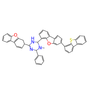 CN1C(c2ccccc2)N=C(C2C=Cc3c(oc4ccccc34)C2)NC1c1cccc2c1oc1cc(-c3cccc4c3sc3ccccc34)ccc12